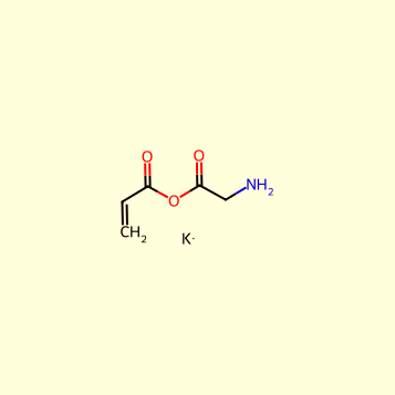 C=CC(=O)OC(=O)CN.[K]